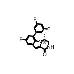 C[C@@H]1CNC(=O)c2cc3cc(F)cc(-c4cc(F)cc(F)c4)c3n21